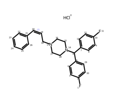 Cl.Fc1ccc(C(c2ccc(F)cc2)N2CCN(C/C=C\c3ccccc3)CC2)cc1